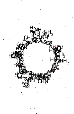 CCCC[C@H]1C(=O)N(C)[C@@H](CCCC)C(=O)N[C@@H](CCCNC(=N)N)C(=O)NC(C(=O)NCC(N)=O)CSCC(=O)N[C@@H](Cc2ccccc2)C(=O)N(C)[C@@H](C)C(=O)N[C@@H](CC(N)=O)C(=O)N2CCC[C@H]2C(=O)N[C@@H](Cc2cnc[nH]2)C(=O)N[C@@H](CC(C)C)C(=O)N[C@@H](CCNC(=O)C2CCCC2)C(=O)N[C@@H](Cc2c[nH]c3ccccc23)C(=O)N[C@@H](CO)C(=O)N[C@@H](Cc2c[nH]c3ccccc23)C(=O)N1C